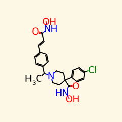 CC(c1ccc(/C=C/C(=O)NO)cc1)N1CCC(C(=O)NO)(c2ccc(Cl)cc2)CC1